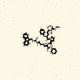 CC(C)C[C@@H](/C=C/[C@H](Cc1ccccc1)C(=O)N1CCCC1C(=O)NC(CCCCNC(=O)OCC1c2ccccc2-c2ccccc21)C(=O)OC1CCCCC1)NC(=O)OC(C)(C)C